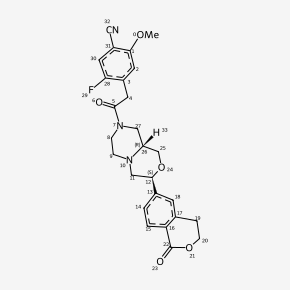 COc1cc(CC(=O)N2CCN3C[C@H](c4ccc5c(c4)CCOC5=O)OC[C@H]3C2)c(F)cc1C#N